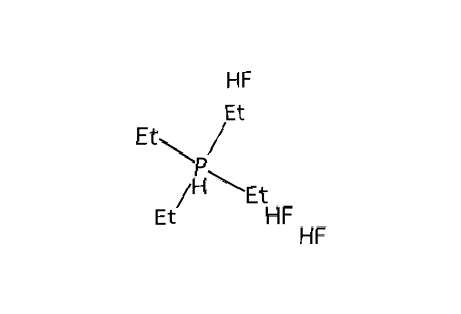 CC[PH](CC)(CC)CC.F.F.F